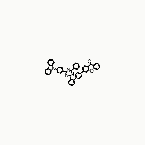 O=c1c2ccccc2oc2cc(-c3ccc(-c4ccccc4-c4nc(-c5ccccc5)nc(-c5ccc(-n6c7ccccc7c7ccccc76)cc5)n4)cc3)ccc12